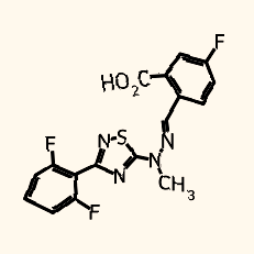 CN(/N=C/c1ccc(F)cc1C(=O)O)c1nc(-c2c(F)cccc2F)ns1